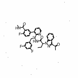 CCC(C(=O)N[C@@H](Cc1cc(F)cc(F)c1)c1ncccc1-c1ccc(F)c(C(=O)NC)c1)n1nc(C(C)=O)c2ccccc21